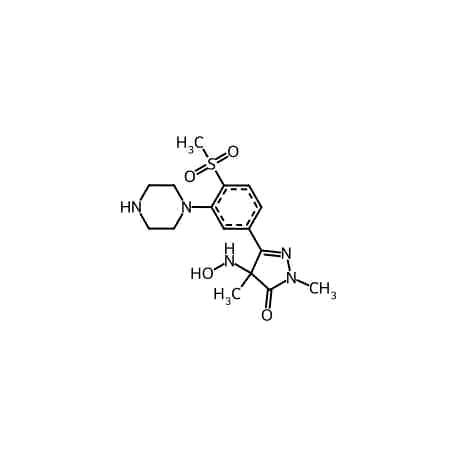 CN1N=C(c2ccc(S(C)(=O)=O)c(N3CCNCC3)c2)C(C)(NO)C1=O